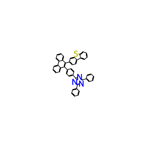 c1ccc(-c2nc(-c3ccccc3)nc(-c3ccc(-c4c(-c5ccc6c(c5)sc5ccccc56)c5ccccc5c5ccccc45)cc3)n2)cc1